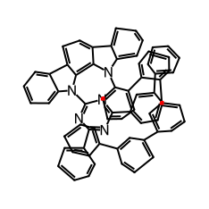 c1ccc(-c2cccc(-c3cccc(-c4ccccc4-c4ccccc4-n4c5ccccc5c5ccc6c7ccccc7n(-c7nc(-c8ccccc8)nc(-c8cccc(-c9ccccc9)c8)n7)c6c54)c3)c2)cc1